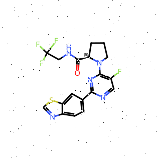 O=C(NCC(F)(F)F)[C@H]1CCCN1c1nc(-c2ccc3ncsc3c2)ncc1F